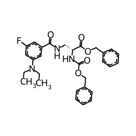 CCN(CC)c1cc(F)cc(C(=O)NC[C@@H](NC(=O)OCc2ccccc2)C(=O)OCc2ccccc2)c1